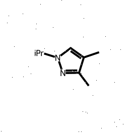 Cc1cn(C(C)C)nc1C